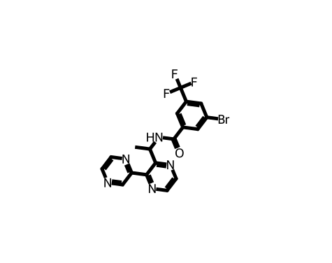 CC(NC(=O)c1cc(Br)cc(C(F)(F)F)c1)c1nccnc1-c1cnccn1